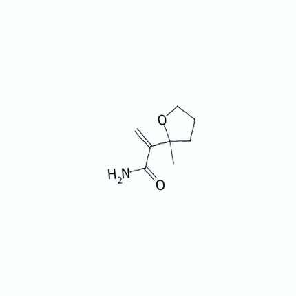 C=C(C(N)=O)C1(C)CCCO1